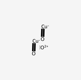 [O+2].[O]=[Cu-].[O]=[Cu-]